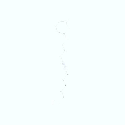 CCCCCCC#CCCCOC1CCCCO1